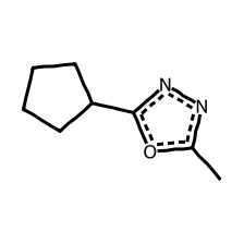 Cc1nnc(C2CCCC2)o1